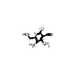 Cc1c(CO)nc(Cl)c(C#N)c1C